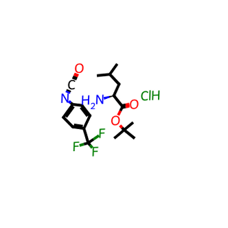 CC(C)C[C@H](N)C(=O)OC(C)(C)C.Cl.O=C=Nc1ccc(C(F)(F)F)cc1